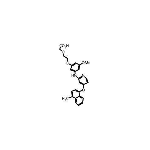 COc1cc(Nc2cc(Oc3ccc(C)c4ccccc34)ccn2)cc(OCCOCC(=O)O)c1